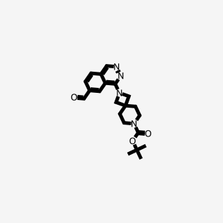 CC(C)(C)OC(=O)N1CCC2(CC1)CN(c1nncc3ccc(C=O)cc13)C2